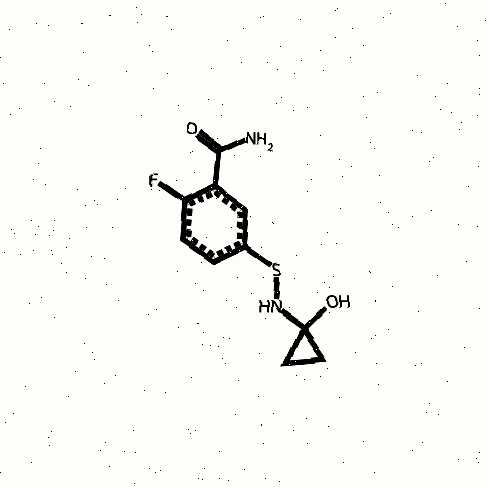 NC(=O)c1cc(SNC2(O)CC2)ccc1F